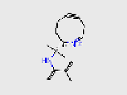 C=C(C)C(=C)NC(C)(C)[C@@H]1CCC#CC/C=N\1